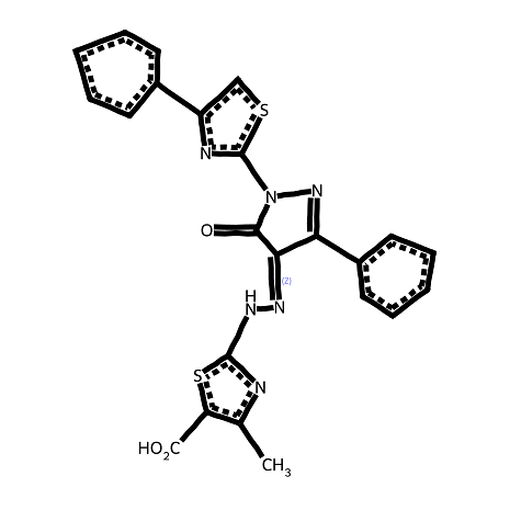 Cc1nc(N/N=C2\C(=O)N(c3nc(-c4ccccc4)cs3)N=C2c2ccccc2)sc1C(=O)O